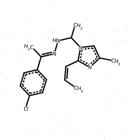 C/C=C\c1nc(C)cn1C(C)N/N=C(\C)c1ccc(Cl)cc1